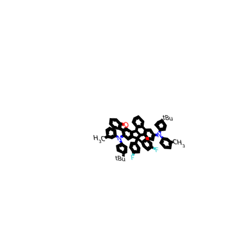 Cc1cccc(N(c2ccc(C(C)(C)C)cc2)c2ccc3c(c2)-c2ccccc2C2c4c(cc(N(c5ccc(C(C)(C)C)cc5)c5cccc(C)c5)c5c4oc4ccccc45)C(c4ccc(F)cc4)(c4ccc(F)cc4)C32)c1